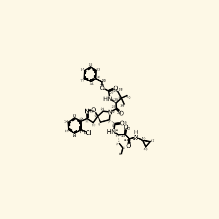 CCC[C@H](NC(=O)[C@@H]1C[C@]2(CC(c3ccccc3Cl)=NO2)CN1C(=O)[C@@H](NC(=O)OCc1ccccc1)C(C)(C)C)C(=O)C(=O)NC1CC1